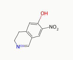 O=[N+]([O-])c1cc2c(cc1O)CCN=C2